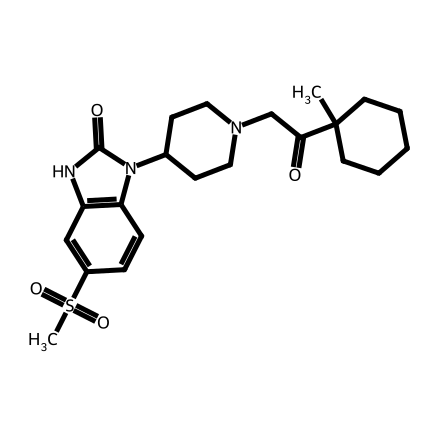 CC1(C(=O)CN2CCC(n3c(=O)[nH]c4cc(S(C)(=O)=O)ccc43)CC2)CCCCC1